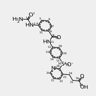 NC(=O)Nc1cccc(C(=O)Nc2ccc([S+]([O-])c3ncccc3CCC(=O)O)cc2)c1